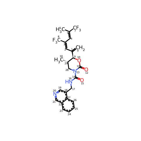 C=C(/C=C(\C=C(/C)C(F)(F)F)C(F)(F)F)[C@H]1OC(=O)N(C(=O)NCc2cncc3ccccc23)C[C@@H]1C